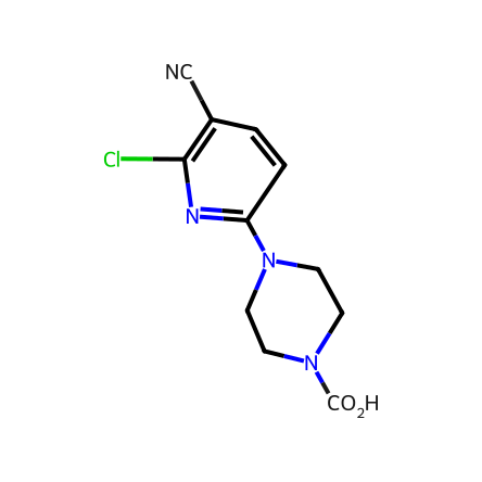 N#Cc1ccc(N2CCN(C(=O)O)CC2)nc1Cl